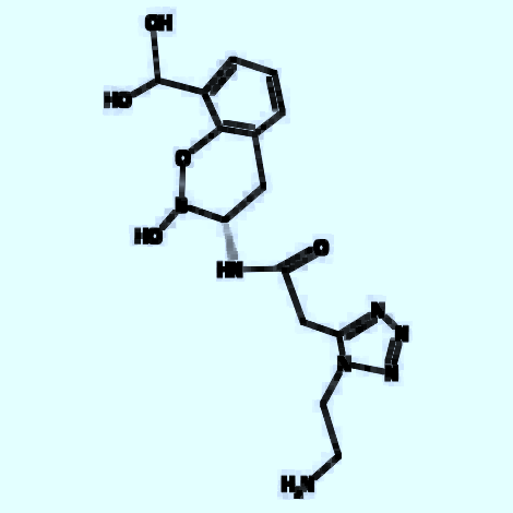 NCCn1nnnc1CC(=O)N[C@H]1Cc2cccc(C(O)O)c2OB1O